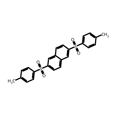 Cc1ccc(S(=O)(=O)c2ccc3cc(S(=O)(=O)c4ccc(C)cc4)ccc3c2)cc1